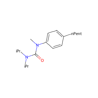 CCCCCc1ccc(N(C)C(=O)N(C(C)C)C(C)C)cc1